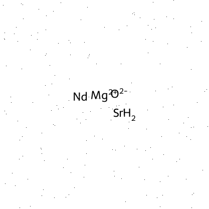 [Mg+2].[Nd].[O-2].[SrH2]